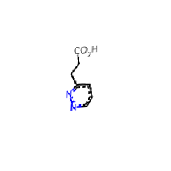 O=C(O)CCc1cccnn1